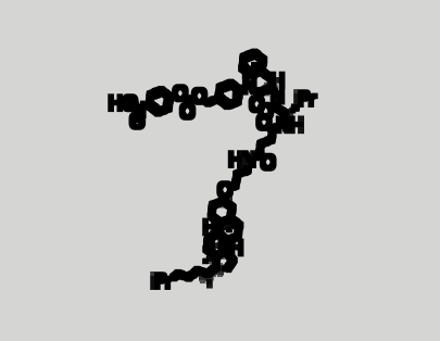 CC(C)CCC[C@@H](C)[C@H]1CC[C@H]2[C@@H]3CC=C4C[C@@H](OCCCNC(=O)CCC(=O)N[C@@H](CC(C)C)C(=O)N[C@@H](Cc5ccccc5)C(=O)Nc5ccc(COC(=O)Oc6ccc([N+](=O)O)cc6)cc5)CC[C@]4(C)[C@H]3CC[C@]12C